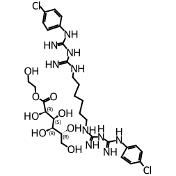 N=C(NCCCCCCNC(=N)NC(=N)Nc1ccc(Cl)cc1)NC(=N)Nc1ccc(Cl)cc1.O=C(OCCO)[C@H](O)[C@@H](O)[C@H](O)[C@H](O)CO